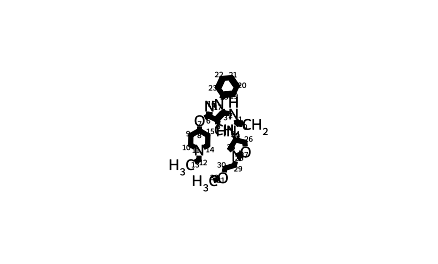 C=C(Nc1c(C)c(OC2CCN(CC)CC2)nn1-c1ccccc1)N[C@H]1CON(CCOC)C1